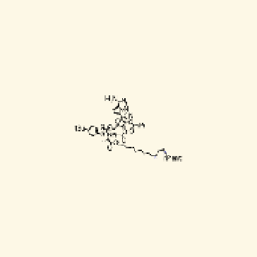 CCCCC/C=C\C/C=C\CCCCCCCCOC(=O)[C@H](C)NP(=O)(OC[C@H]1O[C@@](C#N)(c2ccc3c(N)ncnn23)[C@H](OC(=O)C(C)C)[C@@H]1OC(=O)C(C)C)Oc1ccc(C(C)(C)C)cc1